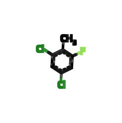 Cc1c(F)cc(Cl)cc1Cl